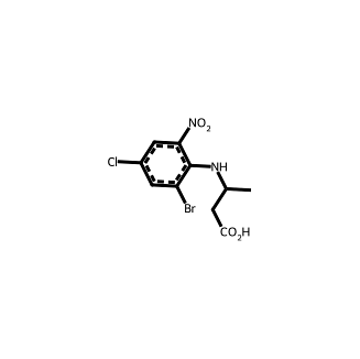 CC(CC(=O)O)Nc1c(Br)cc(Cl)cc1[N+](=O)[O-]